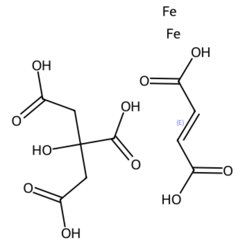 O=C(O)/C=C/C(=O)O.O=C(O)CC(O)(CC(=O)O)C(=O)O.[Fe].[Fe]